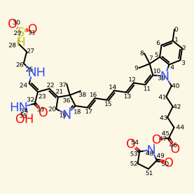 Cc1ccc2c(c1)C(C)(C)\C(=C/C=C/C=C/C=C/C1=NC/C(=C\C(=C/NCCC[SH](=O)=O)C(=O)NO)C1(C)C)N2CCCCCC(=O)ON1C(=O)CCC1=O